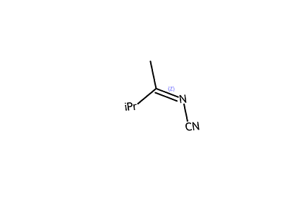 C/C(=N/C#N)C(C)C